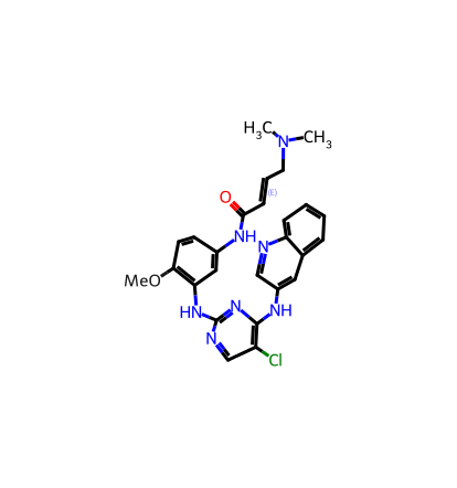 COc1ccc(NC(=O)/C=C/CN(C)C)cc1Nc1ncc(Cl)c(Nc2cnc3ccccc3c2)n1